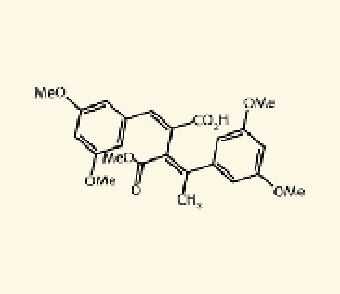 COC(=O)C(/C(=C\c1cc(OC)cc(OC)c1)C(=O)O)=C(\C)c1cc(OC)cc(OC)c1